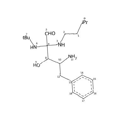 CC(C)CCNC(C=O)(NC(C)(C)C)C(O)C(N)Cc1ccccc1